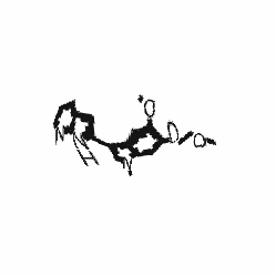 COCCOc1cc2c(cc1OC)c(-c1cc3cccnc3[nH]1)cn2C